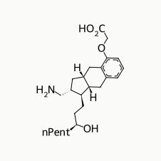 CCCCC[C@H](O)CC[C@H]1[C@H](CN)C[C@@H]2Cc3c(cccc3OCC(=O)O)C[C@@H]21